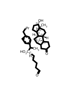 CC(C)Cc1ccc(C(C)C(=O)O)cc1.CCCCCC=O.C[C@]12CC[C@H]3[C@@H](CCC4CC(=O)CC[C@@]43C)[C@@H]1CC[C@@H]2O